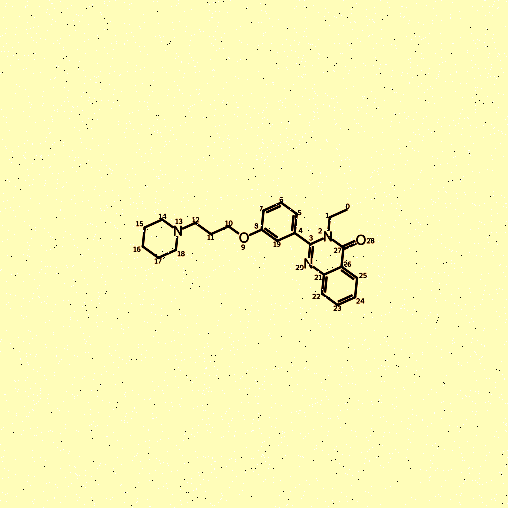 CCn1c(-c2cccc(OCCCN3CCCCC3)c2)nc2ccccc2c1=O